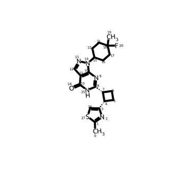 Cc1nc([C@H]2CC[C@H]2c2nc3c(cnn3C3CCC(C)(F)CC3)c(=O)[nH]2)cs1